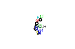 Cl.O=C(O)C1(Cc2cccc(Nc3nccs3)n2)CCC(Oc2cccc(Cl)c2F)CC1